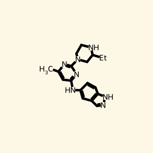 CCC1CN(c2nc(C)cc(Nc3ccc4[nH]ncc4c3)n2)CCN1